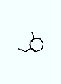 CC1=NC(CBr)=CCCC1